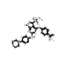 CS(=O)(=O)c1n[nH]c2nc(Nc3ccc(N4CCOCC4)cc3)nc(Nc3ccc(C(N)=O)cc3)c12